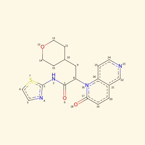 O=C(Nc1nccs1)C(CC1CCOCC1)n1c(=O)ccc2cnccc21